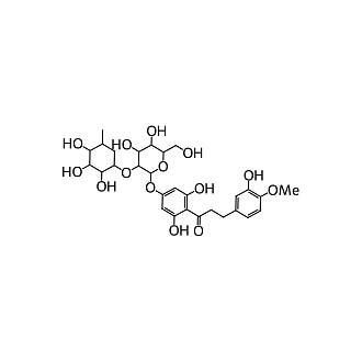 COc1ccc(CCC(=O)c2c(O)cc(OC3OC(CO)C(O)C(O)C3OC3CC(C)C(O)C(O)C3O)cc2O)cc1O